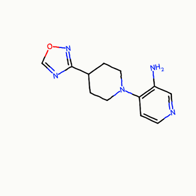 Nc1cnccc1N1CCC(c2ncon2)CC1